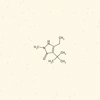 CCc1[nH]n(C)c(=O)c1C(C)(C)C